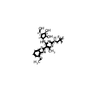 COc1cccc2sc(-c3c(C)nc(NCC(F)(F)F)nc3N[C@@H]3C[C@H](CO)[C@@H](O)[C@H]3O)nc12